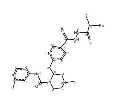 Cc1cccc(NC(=O)N2CCN(C)CC2Cc2ccc(C(=O)NNC(=O)C(F)F)cn2)c1